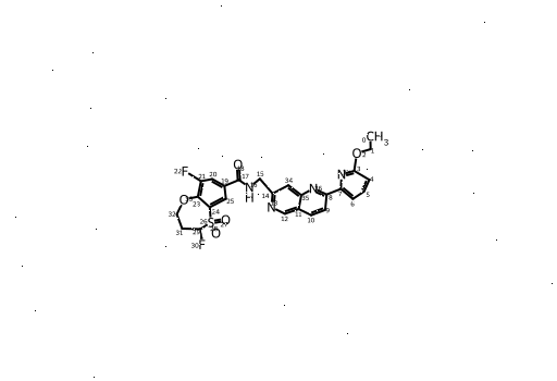 CCOc1cccc(-c2ccc3cnc(CNC(=O)c4cc(F)c5c(c4)S(=O)(=O)[C@@H](F)CCO5)cc3n2)n1